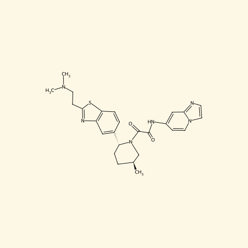 C[C@H]1CC[C@H](c2ccc3sc(CCN(C)C)nc3c2)N(C(=O)C(=O)Nc2ccn3ccnc3c2)C1